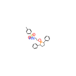 Cc1ccc(S(=O)(=O)NCCOP2C(c3ccccc3)CCC2c2ccccc2)cc1